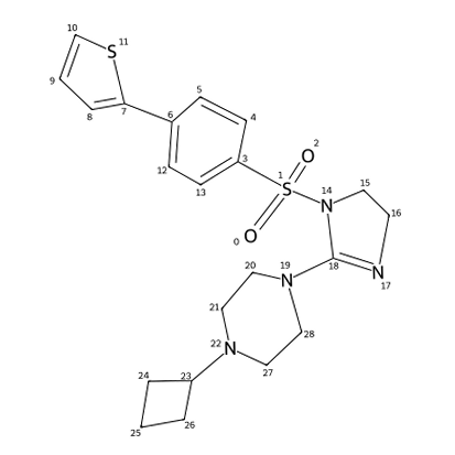 O=S(=O)(c1ccc(-c2cccs2)cc1)N1CCN=C1N1CCN(C2CCC2)CC1